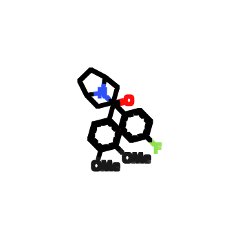 COc1ccc(C(=O)N2C3CCC2CC(c2ccc(F)cc2)C3)cc1OC